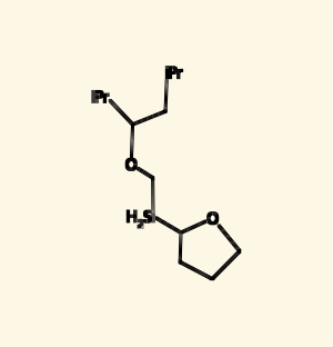 CC(C)CC(OC[SiH2]C1CCCO1)C(C)C